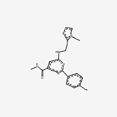 CNC(=O)c1cc(NCc2nccn2C)nc(-c2ccc(C)cc2)n1